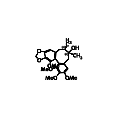 COc1cc2c(c(OC)c1OC)-c1c(cc3c(c1OC)OCO3)C[C@@H](C)[C@](C)(O)C2